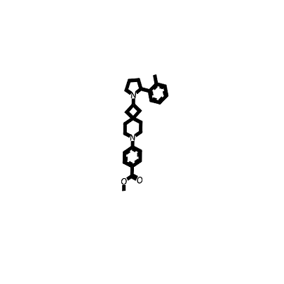 COC(=O)c1ccc(N2CCC3(CC2)CC(N2CCCC2c2ccccc2C)C3)cc1